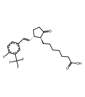 O=C(O)CCCCCC[C@@H]1C(=O)CC[C@H]1C=Cc1ccc(F)c(C(F)(F)F)c1